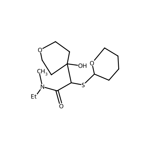 CCN(C)C(=O)C(SC1CCCCO1)C1(O)CCOCC1